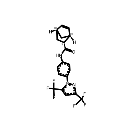 O=C(Nc1ccc(-n2nc(C(F)(F)F)cc2C(F)(F)F)cc1)[C@H]1C[C@@H]2C=C[C@H]1C2